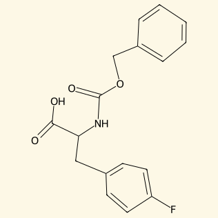 O=C(NC(Cc1ccc(F)cc1)C(=O)O)OCc1ccccc1